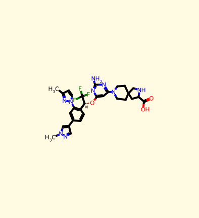 Cc1ccn(-c2cc(-c3cnn(C)c3)ccc2[C@@H](Oc2cc(N3CCC4(CC3)CNC(C(=O)O)C4)nc(N)n2)C(F)(F)F)n1